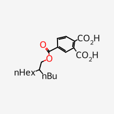 CCCCCCC(CCCC)COC(=O)c1ccc(C(=O)O)c(C(=O)O)c1